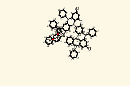 Clc1cc2c3c(c1)N(c1ccccc1)c1cc4c(cc1B3c1cc3c(cc1O2)N(c1ccccc1)c1cc(Cl)cc2c1B3c1ccccc1N2c1ccccc1)B1c2ccccc2N(c2ccccc2)c2cc(Cl)cc(c21)N4c1ccccc1